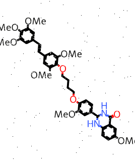 COc1ccc2c(c1)C(=O)NC(c1ccc(OCCCCOc3c(OC)cc(C=Cc4cc(OC)c(OC)c(OC)c4)cc3OC)c(OC)c1)N2